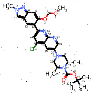 COCOc1cc2nn(C)cc2cc1-c1cc(Cl)c2cc(N3C[C@H](C)N(C(=O)OC(C)(C)C)[C@@H](C)C3)cnc2n1